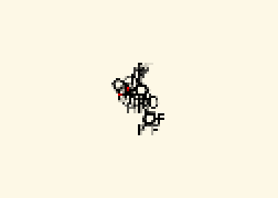 [N-]=[N+]=Nc1ccc(C(=O)Nc2cc(F)c(F)c(F)c2)cc1S(=O)(=O)[C@H]1C2CCC1C[C@](O)(CO)C2